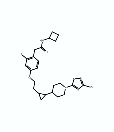 CC(C)c1noc(N2CCC(C3CC3CCOc3ccc(CC(=O)NC4CCC4)c(F)c3)CC2)n1